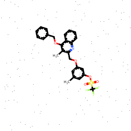 Cc1cc(OCc2nc3ccccc3c(OCc3ccccc3)c2C)cc(OS(=O)(=O)C(F)(F)F)c1